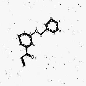 C=CC(=O)c1cccc(OCc2ccccc2)c1